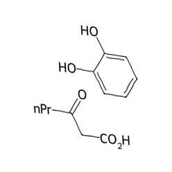 CCCC(=O)CC(=O)O.Oc1ccccc1O